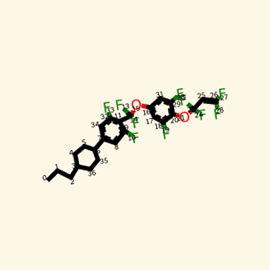 CCCC1CCC(c2cc(F)c(C(F)(F)Oc3cc(F)c(OC(F)(F)C=C(F)F)c(F)c3)c(F)c2)CC1